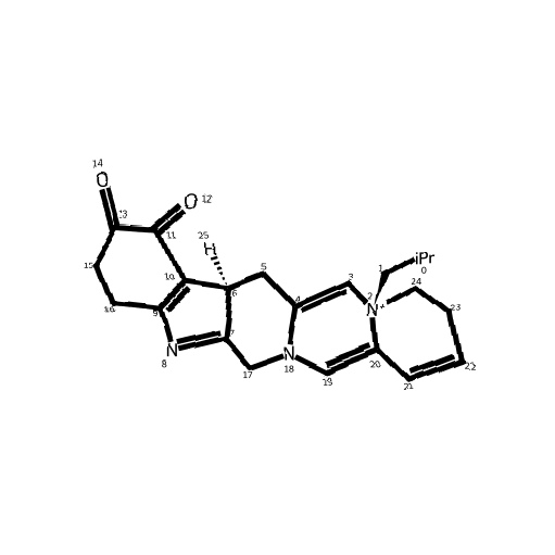 CC(C)C[N@+]12C=C3C[C@H]4C(=NC5=C4C(=O)C(=O)CC5)CN3C=C1C=CCC2